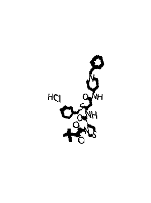 CC(C)(C)C(=O)C(=O)N1CSC[C@H]1C(=O)NC(CC(=O)NC1CCN(Cc2ccccc2)CC1)SCC1CCCCC1.Cl